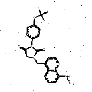 CNc1cccc2c(CN3CC(=O)N(c4ccc(OC(F)(F)F)cc4)C3=O)ccnc12